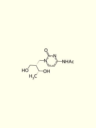 CC(=O)Nc1ccn(C[C@@H](CO)[C@@H](C)O)c(=O)n1